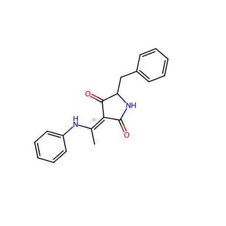 C/C(Nc1ccccc1)=C1\C(=O)NC(Cc2ccccc2)C1=O